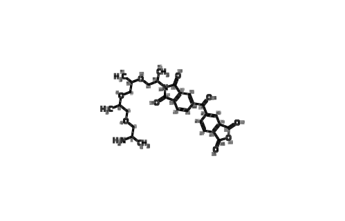 CC(N)COCC(C)OCC(C)OCC(C)N1C(=O)c2ccc(C(=O)c3ccc4c(c3)C(=O)OC4=O)cc2C1=O